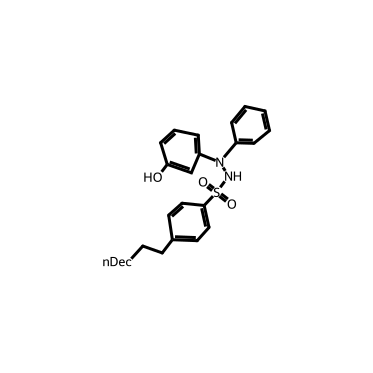 CCCCCCCCCCCCc1ccc(S(=O)(=O)NN(c2ccccc2)c2cccc(O)c2)cc1